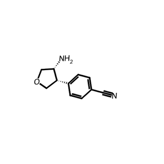 N#Cc1ccc([C@@H]2COC[C@@H]2N)cc1